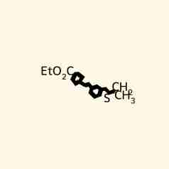 C=C(C)C(=S)Cc1cccc(/C=C/c2ccc(C(=O)OCC)cc2)c1